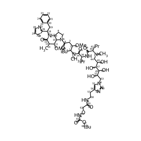 CCC(C)C(C(CC(=O)N1CCCC1C(OC)C(C)C(=O)NC(Cc1ccccc1)c1nccs1)OC)N(C)C(=O)C(NC(=O)C(C(C)C)N(C)CC(O)C(O)C(O)C(O)Cn1cc(CCNC(=O)CONC(=O)OC(C)(C)C)nn1)C(C)C